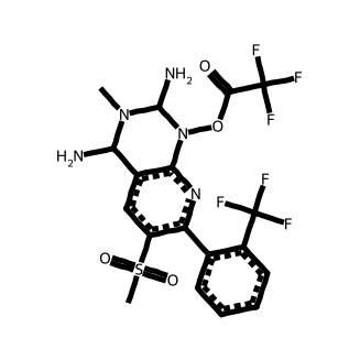 CN1C(N)c2cc(S(C)(=O)=O)c(-c3ccccc3C(F)(F)F)nc2N(OC(=O)C(F)(F)F)C1N